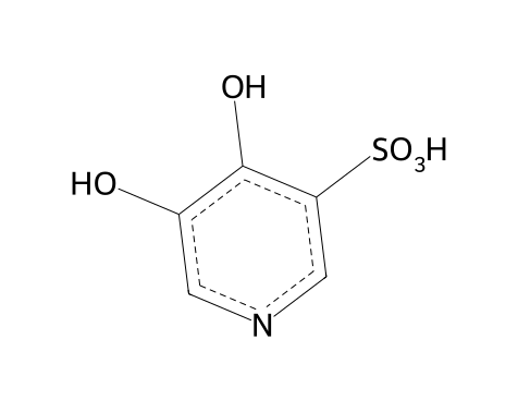 O=S(=O)(O)c1cncc(O)c1O